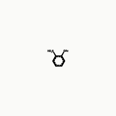 CC(=O)Oc1ccccc1S(=O)(=O)O